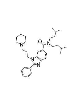 CC(C)CCN(CCC(C)C)C(=O)c1ccc2nc(-c3ccccc3)n(CCCN3CCCCC3)c2c1